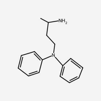 CC(N)CCN(c1ccccc1)c1ccccc1